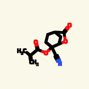 C=C(C)C(=O)OC1(C#N)CCC2CC1OC2=O